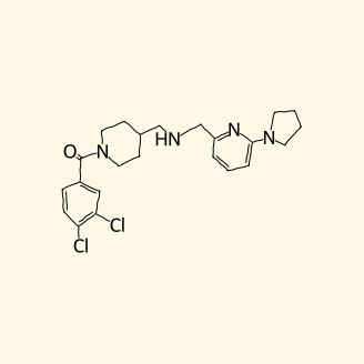 O=C(c1ccc(Cl)c(Cl)c1)N1CCC(CNCc2cccc(N3CCCC3)n2)CC1